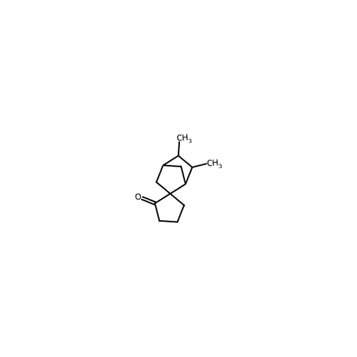 CC1C2CC(C1C)C1(CCCC1=O)C2